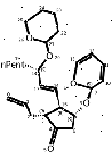 C=CC[C@H]1C(=O)C[C@@H](O[C@@H]2C=CC=CO2)[C@@H]1C=C[C@H](CCCCC)OC1CCCCO1